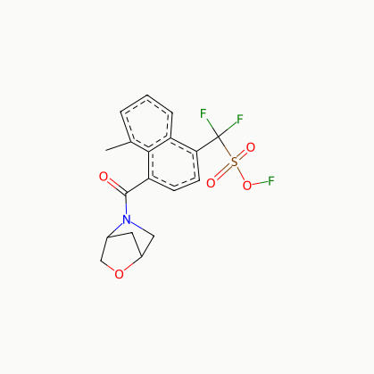 Cc1cccc2c(C(F)(F)S(=O)(=O)OF)ccc(C(=O)N3CC4CC3CO4)c12